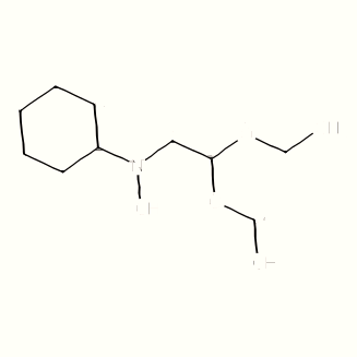 CCOC(CN(C)C1CCCCC1)OCC